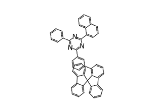 c1ccc(-c2nc(-c3cccc(-c4cccc5c4C4(c6ccccc6-c6ccccc64)c4ccccc4-5)c3)nc(-c3cccc4ccccc34)n2)cc1